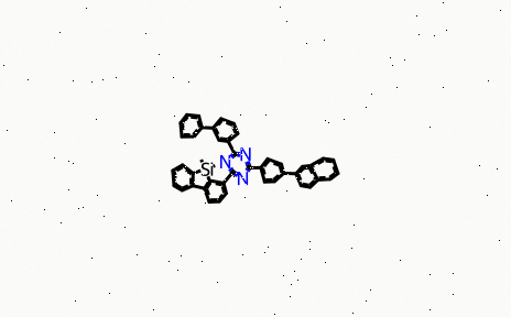 C[Si]1(C)c2ccccc2-c2cccc(-c3nc(-c4ccc(-c5ccc6ccccc6c5)cc4)nc(-c4cccc(-c5ccccc5)c4)n3)c21